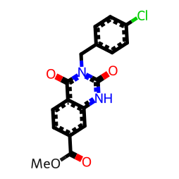 COC(=O)c1ccc2c(=O)n(Cc3ccc(Cl)cc3)c(=O)[nH]c2c1